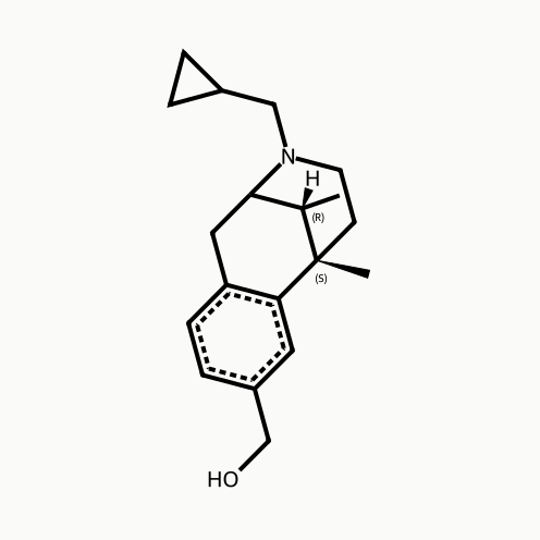 C[C@H]1C2Cc3ccc(CO)cc3[C@@]1(C)CCN2CC1CC1